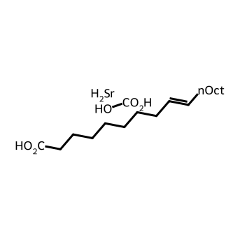 CCCCCCCCC=CCCCCCCCC(=O)O.O=C(O)O.[SrH2]